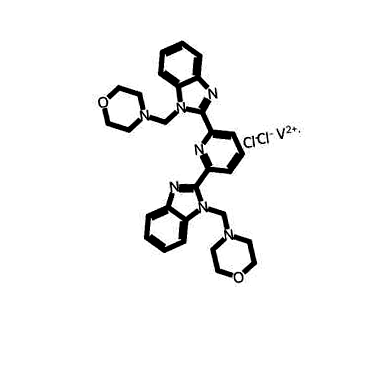 [Cl-].[Cl-].[V+2].c1cc(-c2nc3ccccc3n2CN2CCOCC2)nc(-c2nc3ccccc3n2CN2CCOCC2)c1